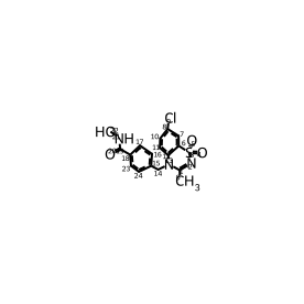 CC1=NS(=O)(=O)c2cc(Cl)ccc2N1Cc1ccc(C(=O)NO)cc1